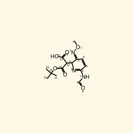 CON=C1C=CC(NC=O)=NC1C(C(=O)O)C(=O)OC(C)(C)C